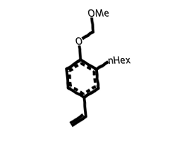 C=Cc1ccc(OCOC)c(CCCCCC)c1